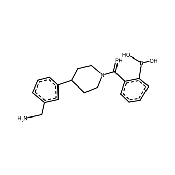 NCc1cccc(C2CCN(C(=P)c3ccccc3B(O)O)CC2)c1